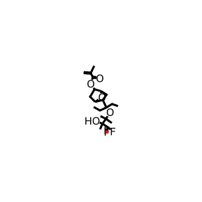 C=C(C)C(=O)OC1CC2OC1CC2C(CC)(CC)OC(C)(C)C(C)(O)C(F)(F)F